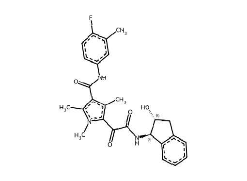 Cc1cc(NC(=O)c2c(C)c(C(=O)C(=O)N[C@@H]3c4ccccc4C[C@H]3O)n(C)c2C)ccc1F